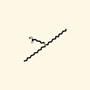 CCCCCCCCCCCCN(CCCCCCCCCCCC)CCCCCC(=O)OC